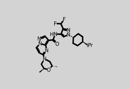 CC(C)[C@H]1CC[C@H](n2cc(NC(=O)c3cnn4ccc(N5C[C@H](C)O[C@@H](C)C5)nc34)c(C(F)F)n2)CC1